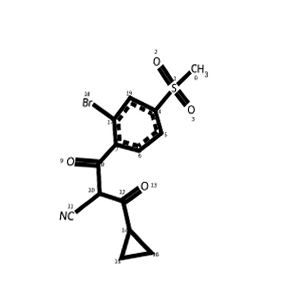 CS(=O)(=O)c1ccc(C(=O)C(C#N)C(=O)C2CC2)c(Br)c1